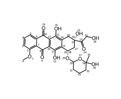 COc1cccc2c1C(=O)c1c(O)c3c(c(O)c1C2=O)C[C@@](O)(C(=O)CO)C[C@@H]3OC1CCCC(C)(O)O1